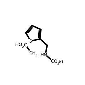 CC(=O)O.CCOC(=O)NCc1cccs1